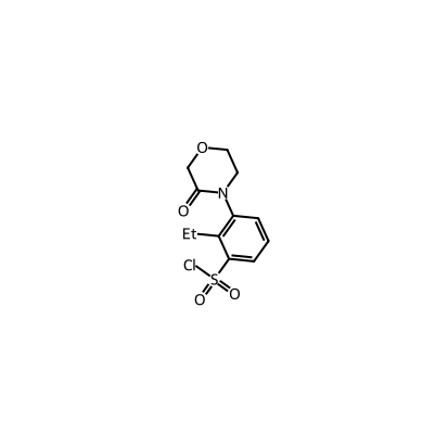 CCc1c(N2CCOCC2=O)cccc1S(=O)(=O)Cl